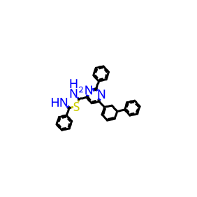 N=C(SC(N)c1cc(C2=CC=CC(c3ccccc3)C2)nc(-c2ccccc2)n1)c1ccccc1